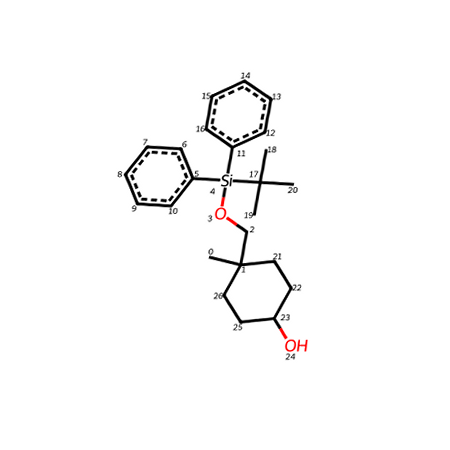 CC1(CO[Si](c2ccccc2)(c2ccccc2)C(C)(C)C)CCC(O)CC1